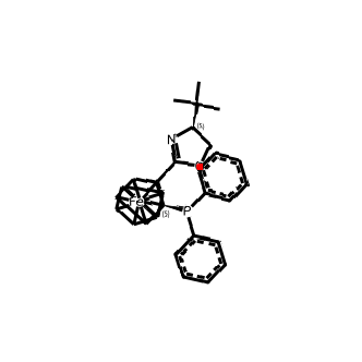 CC(C)(C)[C@H]1COC([C]23[CH]4[CH]5[CH]6[C@]2(P(c2ccccc2)c2ccccc2)[Fe]54632789[CH]3[CH]2[CH]7[CH]8[CH]39)=N1